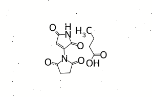 CCCC(=O)O.O=C1C=C(N2C(=O)CCC2=O)C(=O)N1